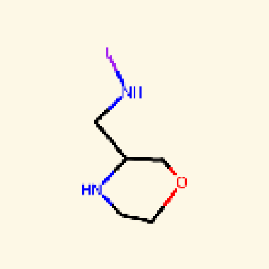 INCC1COCCN1